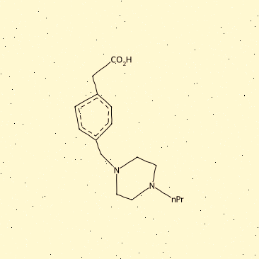 CCCN1CCN(Cc2ccc(CC(=O)O)cc2)CC1